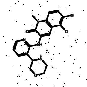 Cn1c(=O)c(Nc2ncccc2C2COCCN2)cc2c(Cl)c(Br)ccc21